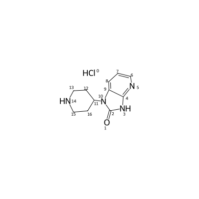 Cl.O=c1[nH]c2ncccc2n1C1CCNCC1